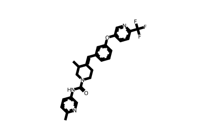 Cc1ccc(NC(=O)N2CC/C(=C\c3cccc(Oc4ccc(C(F)(F)F)nc4)c3)C(C)C2)cn1